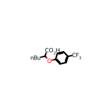 CCCCC(Oc1ccc(C(F)(F)F)cc1)C(=O)O